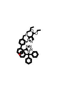 CCCCN(Cc1ccc(-c2ccccc2-c2nnnn2C(c2ccccc2)(c2ccccc2)c2ccccc2)cc1)c1c(C(=O)OCC)cnn1C